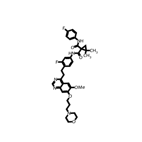 COc1cc2c(CCc3ccc(NC(=O)C4(C(=O)Nc5ccc(F)cc5)CC4(C)C)cc3F)ncnc2cc1OCCCN1CCOCC1